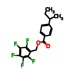 CCC(C)c1ccc(C(=O)OCc2c(F)c(F)c(F)c(F)c2F)cc1